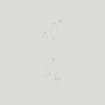 O=C1CCC(N2Cc3c(csc3C3CCN(CCCCCCOc4ccc([C@@H]5c6ccc(O)cc6CC[C@@H]5c5ccccc5)cc4)CC3)C2=O)C(=O)N1